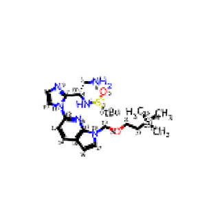 CC(C)(C)[S+]([O-])N[C@@H](CN)c1nccn1-c1ccc2ccn(COCC[Si](C)(C)C)c2n1